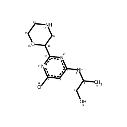 CC(CO)Nc1cc(Cl)nc(C2CNCCO2)n1